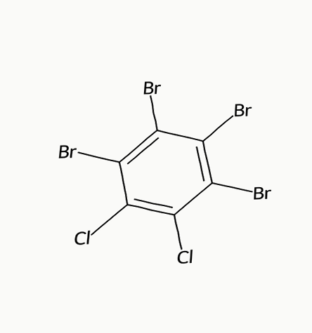 Clc1c(Cl)c(Br)c(Br)c(Br)c1Br